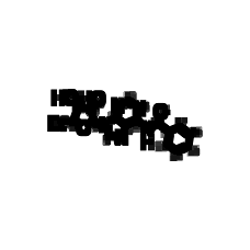 CC[C@H]1O[C@@H](n2cnc3c(NC(=O)c4ccccc4)ncnc32)[C@H](O)[C@@H]1O